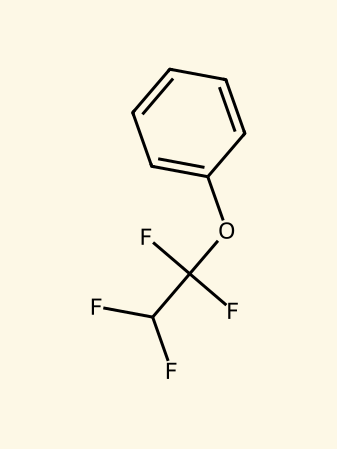 FC(F)C(F)(F)Oc1ccccc1